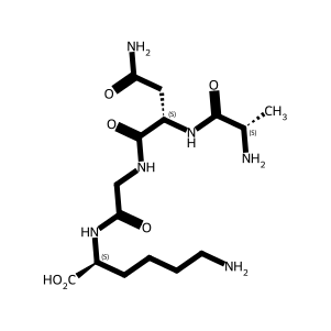 C[C@H](N)C(=O)N[C@@H](CC(N)=O)C(=O)NCC(=O)N[C@@H](CCCCN)C(=O)O